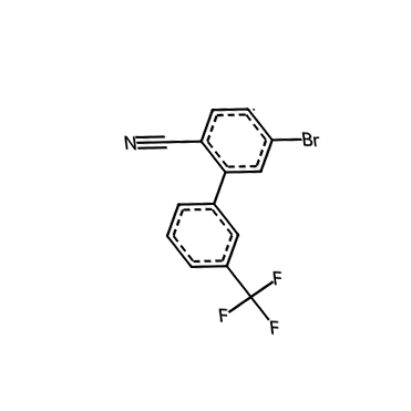 N#Cc1c[c]c(Br)cc1-c1cccc(C(F)(F)F)c1